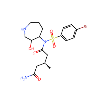 C[C@@H](CC(N)=O)CC(=O)N(C1CCCNCC1O)S(=O)(=O)c1ccc(Br)cc1